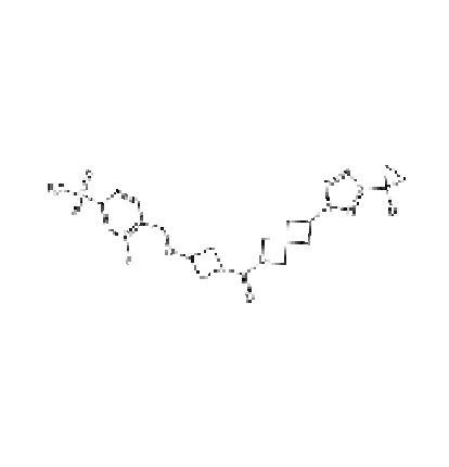 O=C(N1CC(OCc2ccc(S(=O)(=O)C(F)(F)F)cc2F)C1)N1CC2(CC(n3cnc(C4(O)CC4)n3)C2)C1